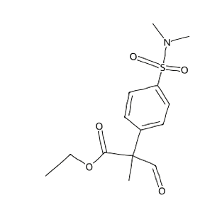 CCOC(=O)C(C)(C=O)c1ccc(S(=O)(=O)N(C)C)cc1